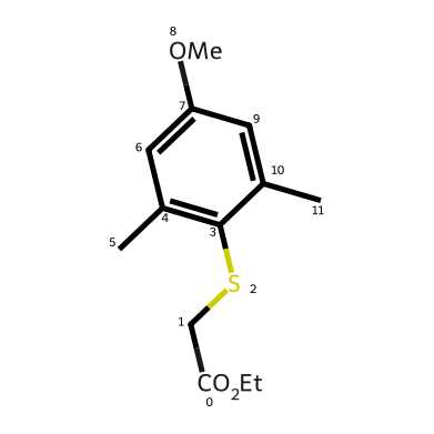 CCOC(=O)CSc1c(C)cc(OC)cc1C